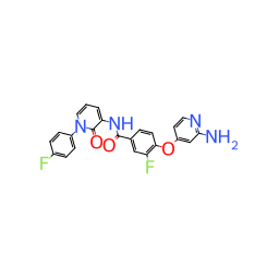 Nc1cc(Oc2ccc(C(=O)Nc3cccn(-c4ccc(F)cc4)c3=O)cc2F)ccn1